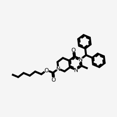 CCCCCCOC(=O)N1CCc2c(nc(C)n(C(c3ccccc3)c3ccccc3)c2=O)C1